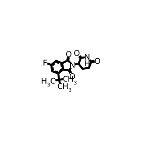 CC(C)(C)c1cc(F)cc2c1C(=O)N(C1CCC(=O)NC1=O)C2=O